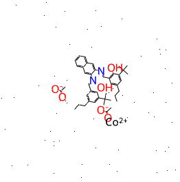 CC(=O)[O-].CC(=O)[O-].CCCc1cc(C=Nc2cc3ccccc3cc2N=Cc2cc(CCC)cc(C(C)(C)C)c2O)c(O)c(C(C)(C)C)c1.[Co+2]